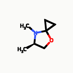 C[C@@H]1COC2(CC2)N1C